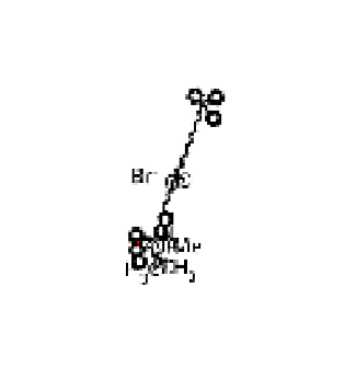 COc1nc2ccc(CCCCOC(=O)CCCCCCCCCCC[P+](c3ccccc3)(c3ccccc3)c3ccccc3)cc2cc1[C@@H](c1ccccc1)C(O)(CCN(C)C)c1cccc2ccccc12.[Br-]